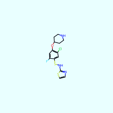 Fc1cc(OC2CCNCC2)c(Cl)cc1SNc1nccs1